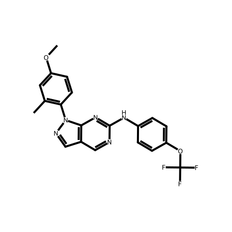 COc1ccc(-n2ncc3cnc(Nc4ccc(OC(F)(F)F)cc4)nc32)c(C)c1